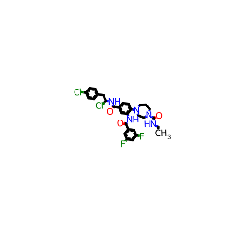 CCNC(=O)N1CCCN(c2ccc(C(=O)NC(Cl)Cc3ccc(Cl)cc3)cc2NC(=O)c2cc(F)cc(F)c2)CC1